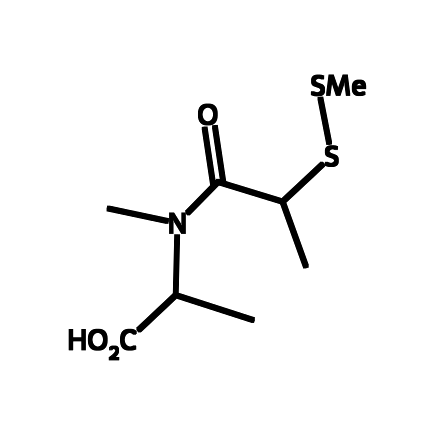 CSSC(C)C(=O)N(C)C(C)C(=O)O